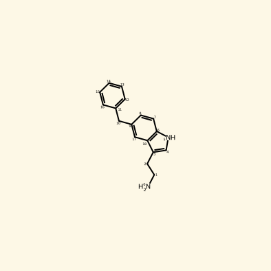 NCCc1c[nH]c2ccc(Cc3ccccc3)cc12